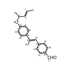 CC=CC(C)Oc1ccc(C(C)=Cc2ccc(C=O)cc2)cc1